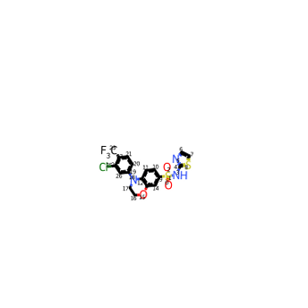 O=S(=O)(Nc1nccs1)c1ccc2c(c1)OCCN2c1ccc(C(F)(F)F)c(Cl)c1